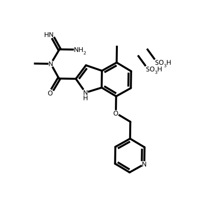 CS(=O)(=O)O.CS(=O)(=O)O.Cc1ccc(OCc2cccnc2)c2[nH]c(C(=O)N(C)C(=N)N)cc12